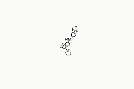 Cc1cc(N2CCCCCC2)c2ccc(NCc3ccc(C(F)(F)F)cc3)cc2n1